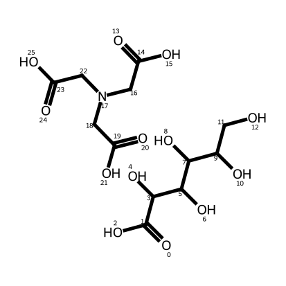 O=C(O)C(O)C(O)C(O)C(O)CO.O=C(O)CN(CC(=O)O)CC(=O)O